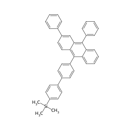 C[Si](C)(C)c1ccc(-c2ccc(-c3c4ccccc4c(-c4ccccc4)c4cc(-c5ccccc5)ccc34)cc2)cc1